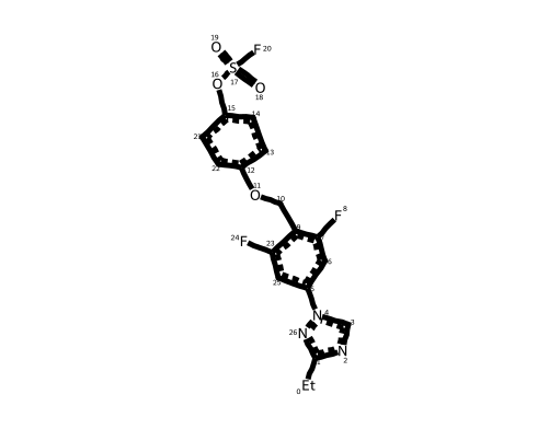 CCc1ncn(-c2cc(F)c(COc3ccc(OS(=O)(=O)F)cc3)c(F)c2)n1